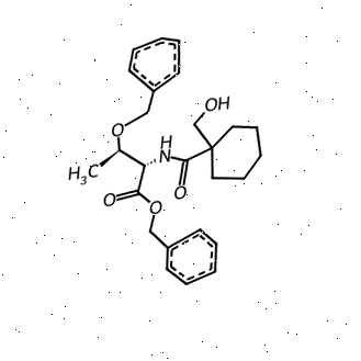 C[C@@H](OCc1ccccc1)[C@H](NC(=O)C1(CO)CCCCC1)C(=O)OCc1ccccc1